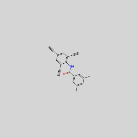 C#Cc1cc(C#C)c(NC(=O)c2cc(C)cc(C)c2)c(C#C)c1